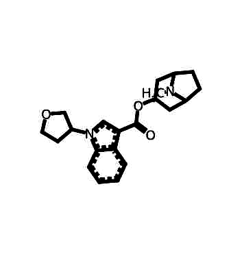 CN1C2CCC1CC(OC(=O)c1cn(C3CCOC3)c3ccccc13)C2